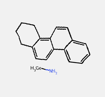 [NH2][GeH3].c1ccc2c(c1)ccc1c3c(ccc12)CCCC3